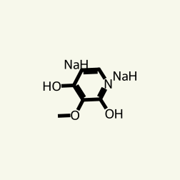 COc1c(O)ccnc1O.[NaH].[NaH]